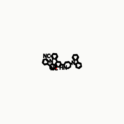 N#Cc1cc(-c2cccc(C#N)c2-n2c3ccccc3c3ccccc32)cc(C2C=CC(n3c4ccccc4c4ccccc43)CCN2)c1